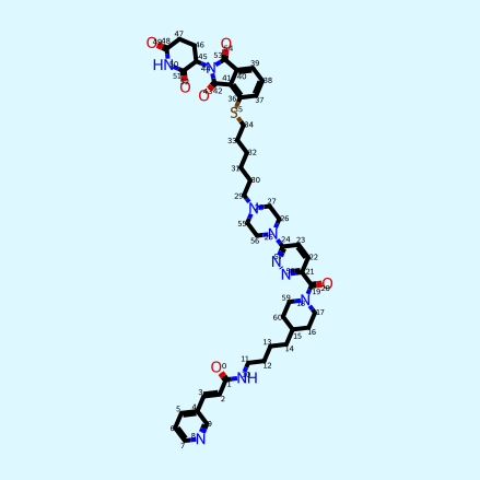 O=C(/C=C/c1cccnc1)NCCCCC1CCN(C(=O)c2ccc(N3CCN(CCCCCCSc4cccc5c4C(=O)N(C4CCC(=O)NC4=O)C5=O)CC3)nn2)CC1